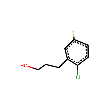 OCCCc1cc(F)ccc1Cl